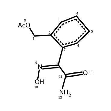 CC(=O)OCc1ccccc1C(=NO)C(N)=O